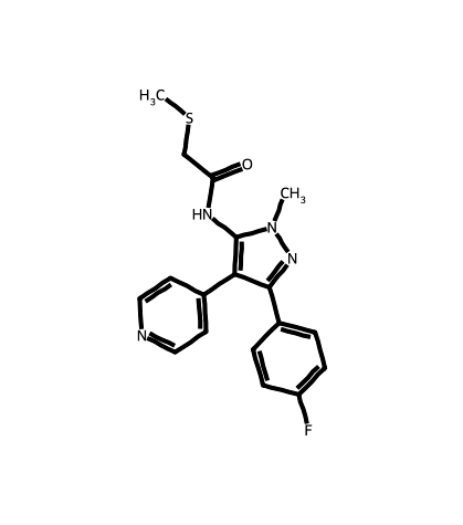 CSCC(=O)Nc1c(-c2ccncc2)c(-c2ccc(F)cc2)nn1C